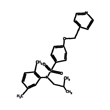 Cc1ccc(C)c(N(CC(C)C)S(=O)(=O)c2ccc(OCc3ccncc3)cc2)c1